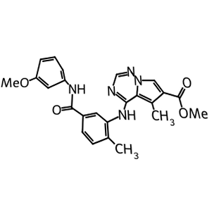 COC(=O)c1cn2ncnc(Nc3cc(C(=O)Nc4cccc(OC)c4)ccc3C)c2c1C